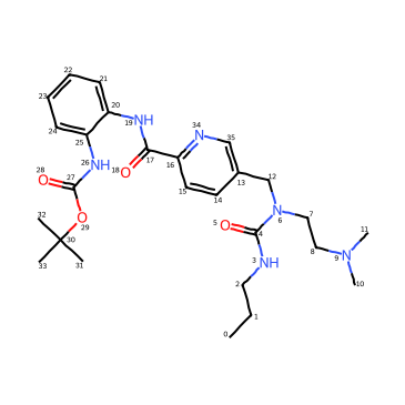 CCCNC(=O)N(CCN(C)C)Cc1ccc(C(=O)Nc2ccccc2NC(=O)OC(C)(C)C)nc1